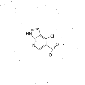 O=[N+]([O-])c1cnc2[nH]ccc2c1Cl